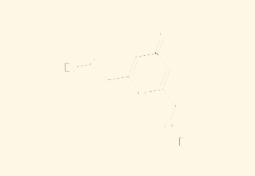 CCOCc1cc(=O)cc(COCC)o1